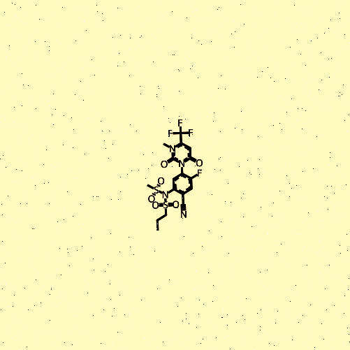 CCCS(=O)(=O)N(c1cc(-n2c(=O)cc(C(F)(F)F)n(C)c2=O)c(F)cc1C#N)S(C)(=O)=O